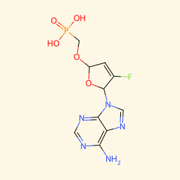 Nc1ncnc2c1ncn2C1OC(OCP(=O)(O)O)C=C1F